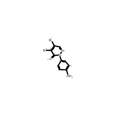 Nc1ccc(-n2ncc(Br)c(Br)c2=O)cc1